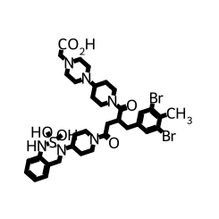 Cc1c(Br)cc(CC(CC(=O)N2CCC(N3Cc4ccccc4NS3(O)O)CC2)C(=O)N2CCC(N3CCN(CC(=O)O)CC3)CC2)cc1Br